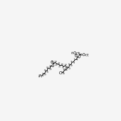 CCCCCCCCC(CCCCCCCC)OC(=O)CCCCCCCN(CCCCl)CCCCCCCC(=O)OCCCCCCCC(C)C